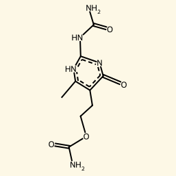 Cc1[nH]c(NC(N)=O)nc(=O)c1CCOC(N)=O